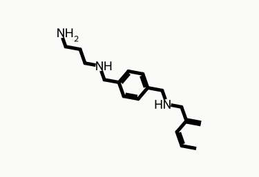 C=C(/C=C\C)CNCc1ccc(CNCCCN)cc1